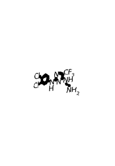 NCCNc1nc(Nc2ccc(Cl)c(Cl)c2)ncc1C(F)(F)F